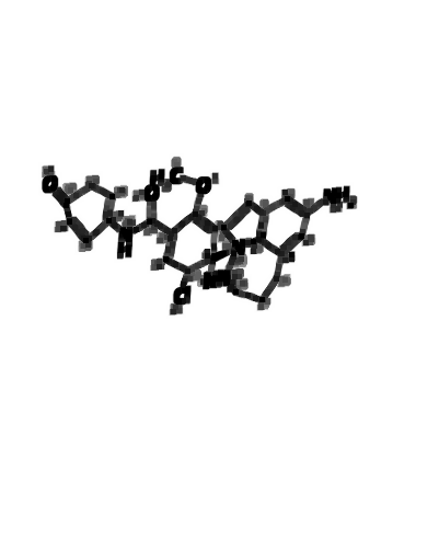 COC1=CC(N)([N@@+]23C=Cc4cc(N)cc(c42)CCCN3)C(Cl)C=C1C(=O)NC1=CCC(=O)C=C1